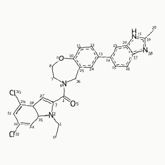 CCN1C(C(=O)N2CCOc3ccc(-c4ccc5nc(C)[nH]c5c4)cc3C2)=CC2C(Cl)=CC(Cl)=CC21